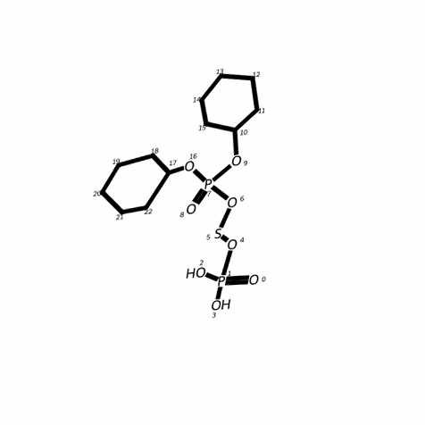 O=P(O)(O)OSOP(=O)(OC1CCCCC1)OC1CCCCC1